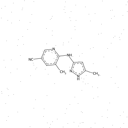 Cc1cc(Nc2ncc(C#N)cc2C)n[nH]1